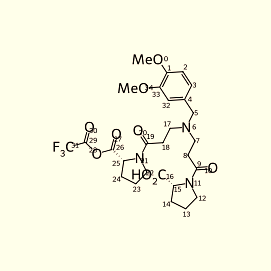 COc1ccc(CN(CCC(=O)N2CCC[C@@H]2C(=O)O)CCC(=O)N2CCC[C@@H]2C(=O)OC(=O)C(F)(F)F)cc1OC